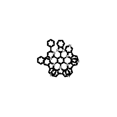 c1ccc(-c2cc(-c3ccccc3)nc(-c3c(-c4nc5ccccc5o4)c(-n4c5ccccc5c5cnccc54)c(-n4c5ccccc5c5cnccc54)c(-n4c5ccccc5c5cnccc54)c3-n3c4ccccc4c4cnccc43)n2)cc1